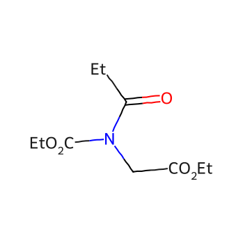 CCOC(=O)CN(C(=O)CC)C(=O)OCC